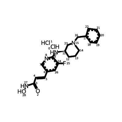 Cl.Cl.O=C(/C=C/c1cnc(N[C@@H]2CCCN(Cc3ccccc3)C2)c(F)c1)NO